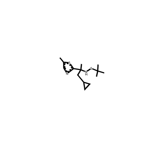 Cc1cnc(C(C)(CC2CC2)NSC(C)(C)C)s1